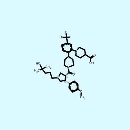 COc1ccc([C@@H]2CN(CCCC(C)(C)O)C[C@H]2C(=O)N2CCC(c3ccc(C(F)(F)F)cc3N3CCC(C(=O)O)CC3)CC2)cc1